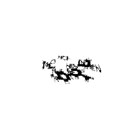 CN(C)C(=O)CCn1cnc2ccc(-c3cc(C4CC4)cc(Nc4cc(C#N)ccn4)n3)cc21.Cl